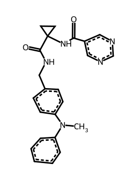 CN(c1ccccc1)c1ccc(CNC(=O)C2(NC(=O)c3cncnc3)CC2)cc1